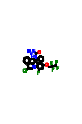 NC(=O)NC1(C(Cc2ccccc2)(c2cc(F)cc(OCC(F)(F)C(F)F)c2)c2ccc(Cl)cn2)CCCC1